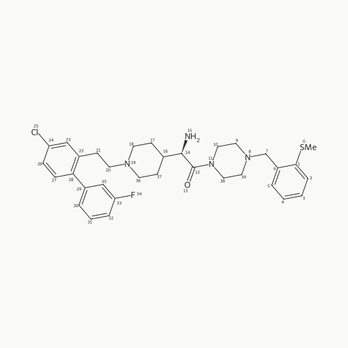 CSc1ccccc1CN1CCN(C(=O)[C@H](N)C2CCN(CCc3cc(Cl)ccc3-c3cccc(F)c3)CC2)CC1